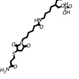 NC(=O)CCSC1CC(=O)N(CCCCCC(=O)NCCCCC(CO)CO[PH](=O)O)C1=O